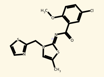 COc1ccc(Cl)cc1C(=O)/N=c1\sc(C)cn1Cc1nccs1